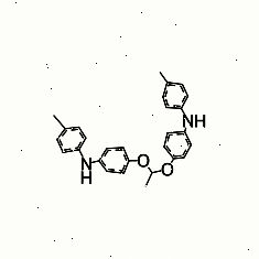 Cc1ccc(Nc2ccc(OC(C)Oc3ccc(Nc4ccc(C)cc4)cc3)cc2)cc1